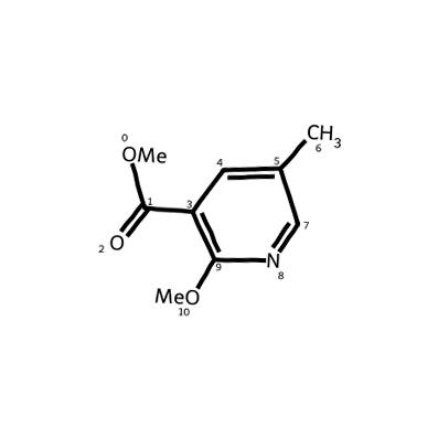 COC(=O)c1cc(C)cnc1OC